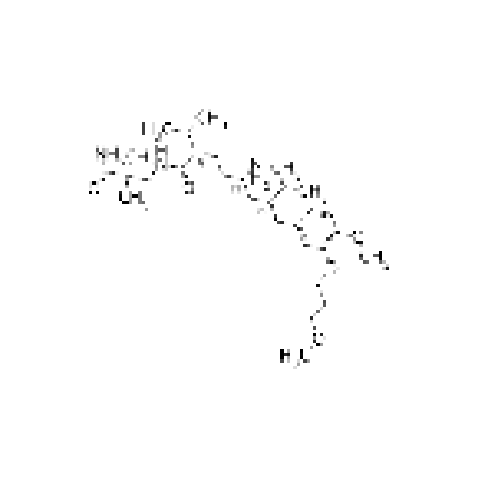 COCCCOc1cc(C[C@@H](C[C@@H](N)CC[C@H](C(=O)NCC(C)(C)C(N)=O)C(C)C)C(C)C)ccc1OC